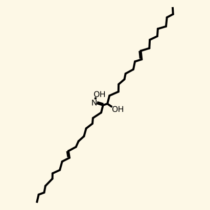 CCCCCCCCC=CCCCCCCCC(=NO)C(O)CCCCCCCC=CCCCCCCCC